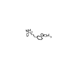 COc1cccc(/C=C/C=C/C(N)=O)c1